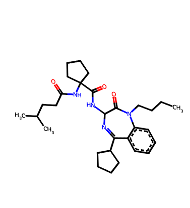 CCCCN1C(=O)C(NC(=O)C2(NC(=O)CCC(C)C)CCCC2)N=C(C2CCCC2)c2ccccc21